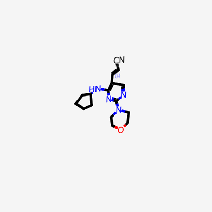 N#C/C=C/c1cnc(N2CCOCC2)nc1NC1CCCC1